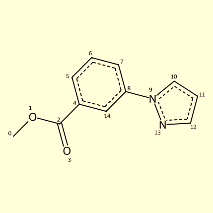 COC(=O)c1cccc(-n2cccn2)c1